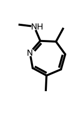 CNC1=NC=C(C)C=CC1C